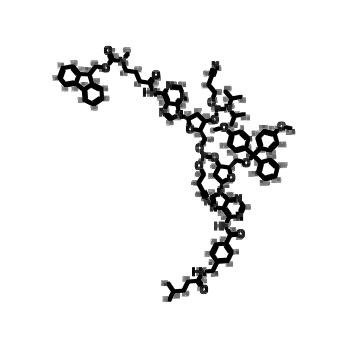 COc1ccc(C(OC[C@H]2O[C@@H](n3cnc4c(NC(=O)c5ccc(CNC(=O)CCC(C)C)cc5)ncnc43)CC2OP(OCCC#N)OC[C@H]2O[C@@H](n3cnc4c(NC(=O)CCCN(C)C(=O)OCC5c6ccccc6-c6ccccc65)ncnc43)CC2OP(OCCC#N)N(C(C)C)C(C)C)(c2ccccc2)c2ccc(OC)cc2)cc1